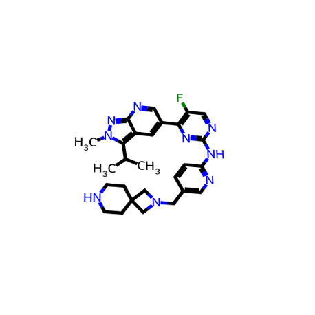 CC(C)c1c2cc(-c3nc(Nc4ccc(CN5CC6(CCNCC6)C5)cn4)ncc3F)cnc2nn1C